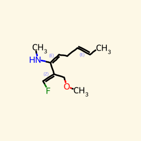 C/C=C/C/C=C(NC)\C(=C\F)COC